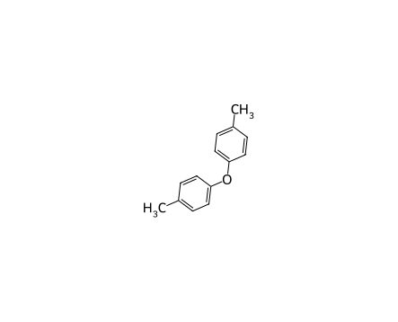 Cc1ccc(Oc2ccc(C)cc2)cc1